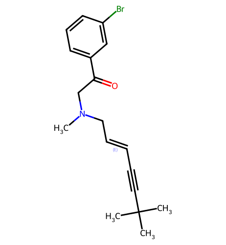 CN(C/C=C/C#CC(C)(C)C)CC(=O)c1cccc(Br)c1